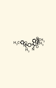 Cc1ccc2oc(C3(C)CCN(c4c(C#N)c(=O)n(C)c5c(S(C)(=O)=O)cccc45)CC3)nc2c1